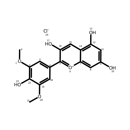 COc1cc(-c2[o+]c3cc(O)cc(O)c3cc2O)cc(OC)c1O.[Cl-]